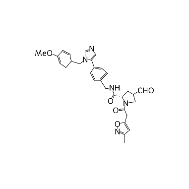 COC1=CCC(Cn2cncc2-c2ccc(CNC(=O)[C@@H]3CC(C=O)CN3C(=O)Cc3cc(C)no3)cc2)C=C1